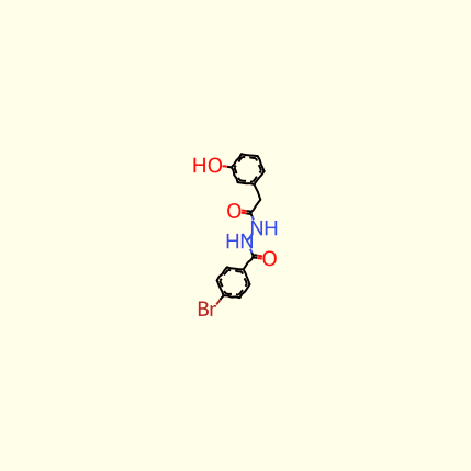 O=C(Cc1cccc(O)c1)NNC(=O)c1ccc(Br)cc1